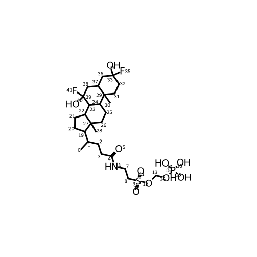 CC(CCC(=O)NCCS(=O)(=O)OCO[PH](O)(O)O)C1CCC2C3C(CCC12C)C1(C)CCC(O)(F)CC1CC3(O)F